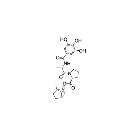 C[C@H](NC(=O)c1cc(O)c(O)c(O)c1)C(=O)N1CCC[C@H]1C(=O)OC1CC2CCC1(C)C2(C)C